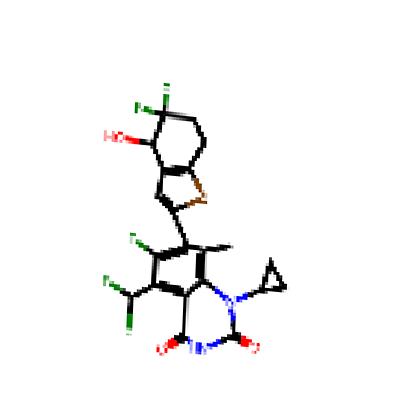 Cc1c(-c2cc3c(s2)CCC(F)(F)C3O)c(F)c(C(F)F)c2c(=O)[nH]c(=O)n(C3CC3)c12